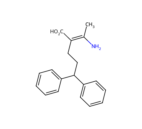 CC(N)=C(CCC(c1ccccc1)c1ccccc1)C(=O)O